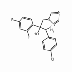 CC(c1ccc(Cl)cc1)C(O)(Cn1cncn1)c1ccc(F)cc1F